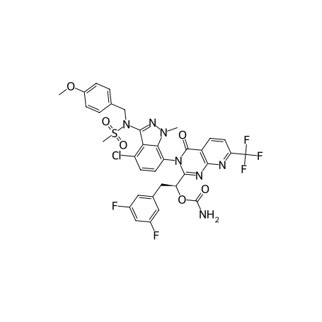 COc1ccc(CN(c2nn(C)c3c(-n4c([C@H](Cc5cc(F)cc(F)c5)OC(N)=O)nc5nc(C(F)(F)F)ccc5c4=O)ccc(Cl)c23)S(C)(=O)=O)cc1